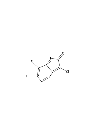 O=C1N=c2c(F)c(F)ccc2=C1Cl